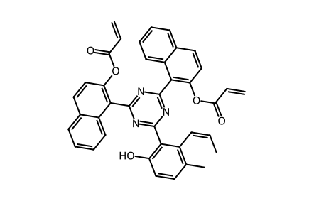 C=CC(=O)Oc1ccc2ccccc2c1-c1nc(-c2c(O)ccc(C)c2/C=C\C)nc(-c2c(OC(=O)C=C)ccc3ccccc23)n1